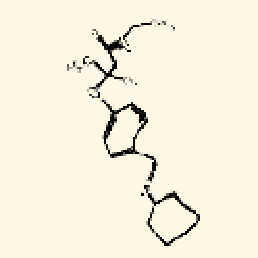 CCOC(=O)C(C)(C)Oc1ccc(C=NC2CCCCC2)cc1